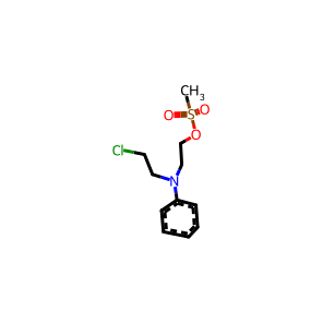 CS(=O)(=O)OCCN(CCCl)c1ccccc1